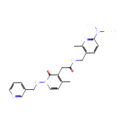 Cc1ccn(NCc2cccnc2)c(=O)c1CC(=O)NCc1ccc(N(C(=O)O)C(C)(C)C)nc1C